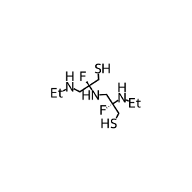 CCNC[C@](F)(CS)NC[C@](F)(CS)NCC